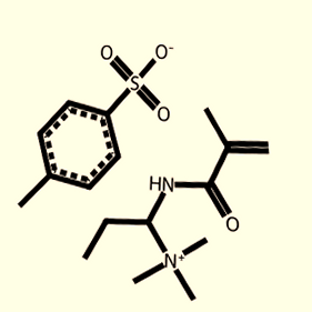 C=C(C)C(=O)NC(CC)[N+](C)(C)C.Cc1ccc(S(=O)(=O)[O-])cc1